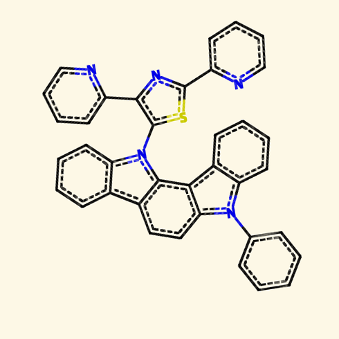 c1ccc(-n2c3ccccc3c3c2ccc2c4ccccc4n(-c4sc(-c5ccccn5)nc4-c4ccccn4)c23)cc1